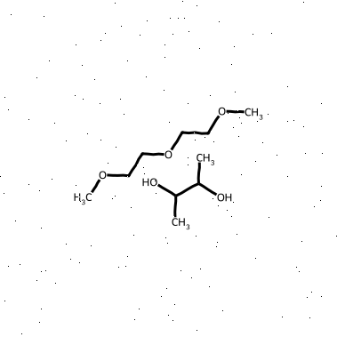 CC(O)C(C)O.COCCOCCOC